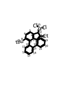 CCC1=Cc2c(ccc(C(C)(C)C)c2-c2ccccc2-c2ccccc2)[CH]1[Zr]([Cl])[Cl]